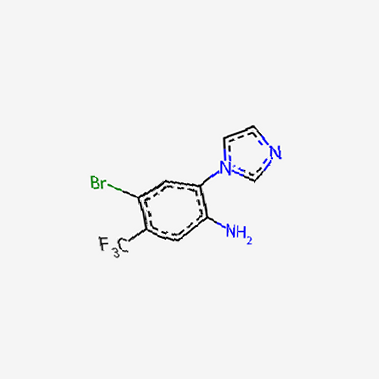 Nc1cc(C(F)(F)F)c(Br)cc1-n1ccnc1